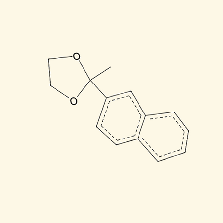 CC1(c2ccc3ccccc3c2)OCCO1